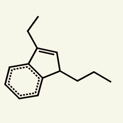 CCCC1C=C(CC)c2ccccc21